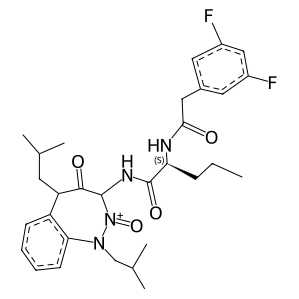 CCC[C@H](NC(=O)Cc1cc(F)cc(F)c1)C(=O)NC1C(=O)C(CC(C)C)c2ccccc2N(CC(C)C)[N+]1=O